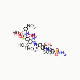 Nc1c(N=Nc2ccc3c(O)c(N=Nc4ccc(S(N)(=O)=O)cc4C(=O)O)c(S(=O)(=O)O)cc3c2S(=O)(=O)O)cc(S(=O)(=O)O)c2cc(SOOO)c(N=Nc3cc([N+](=O)[O-])ccc3C(=O)O)c(O)c12